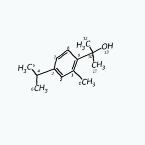 Cc1cc(C(C)C)ccc1C(C)(C)O